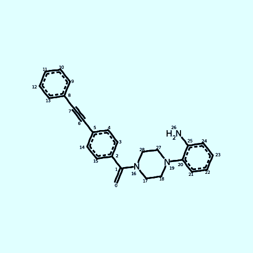 C=C(c1ccc(C#Cc2ccccc2)cc1)N1CCN(c2ccccc2N)CC1